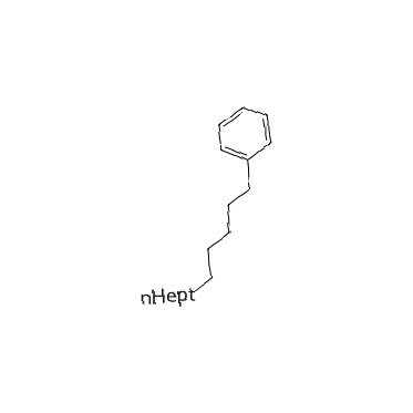 [CH2]CCCCCCCCCCCc1ccccc1